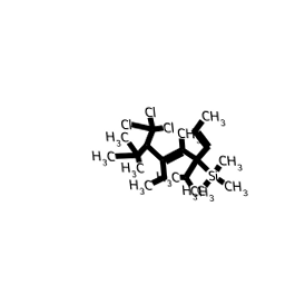 CC=CC(C(C)=C(CC)C(C(C)(C)C)C(Cl)(Cl)Cl)(C(C)C)[Si](C)(C)C